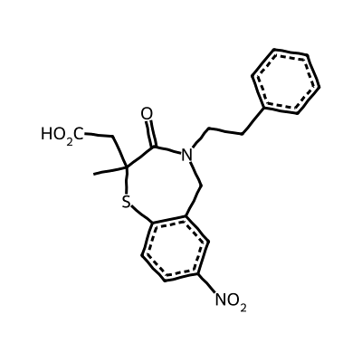 CC1(CC(=O)O)Sc2ccc([N+](=O)[O-])cc2CN(CCc2ccccc2)C1=O